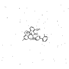 COc1cc(C)cc(C(=O)O)c1C1=C(Sc2ccc(-c3ccccc3C)cc2)C(=O)c2c(O)cccc2C1=O